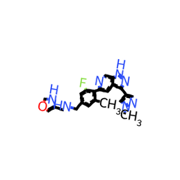 Cc1cc(CNCC2=COCN2)cc(F)c1-c1cc2c(-c3cnn(C)c3)n[nH]c2cn1